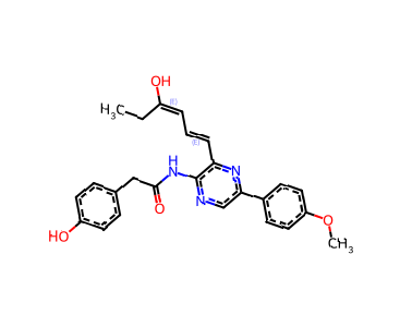 CC/C(O)=C\C=C\c1nc(-c2ccc(OC)cc2)cnc1NC(=O)Cc1ccc(O)cc1